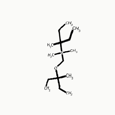 CCC(C)(CC)OCS(C)(C)C(C)(CC)CC